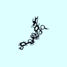 COC(=O)[C@@H]1C[C@H](NC(C)(C)C)CC[C@@H]1N1CCC(NC(=O)c2ccc(-c3cccc(OC)c3)o2)C1=O